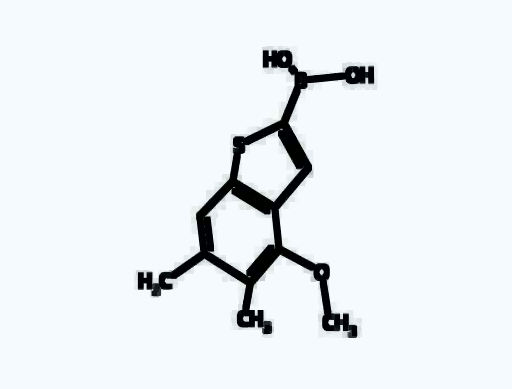 COc1c(C)c(C)cc2sc(B(O)O)cc12